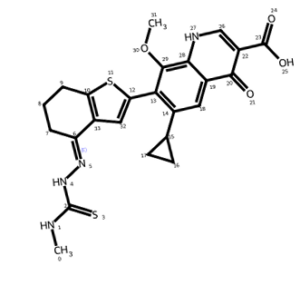 CNC(=S)N/N=C1\CCCc2sc(-c3c(C4CC4)cc4c(=O)c(C(=O)O)c[nH]c4c3OC)cc21